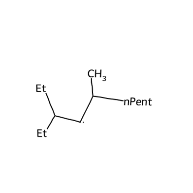 CCCCCC(C)[CH]C(CC)CC